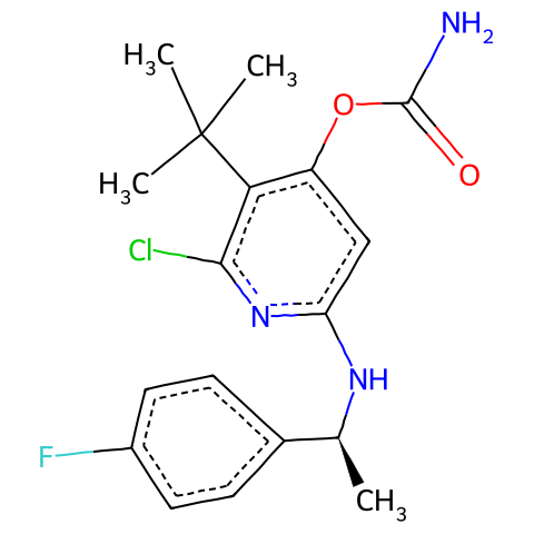 C[C@H](Nc1cc(OC(N)=O)c(C(C)(C)C)c(Cl)n1)c1ccc(F)cc1